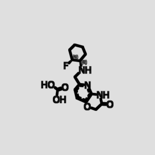 O=C(O)O.O=C1COc2ccc(CN[C@@H]3CCCC[C@@H]3F)nc2N1